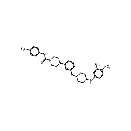 O=[N+]([O-])c1ccc(NC2CCC(Oc3cccc(N4CCN(C(=S)Nc5ccc(C(F)(F)F)cc5)CC4)n3)CC2)cc1C(F)(F)F